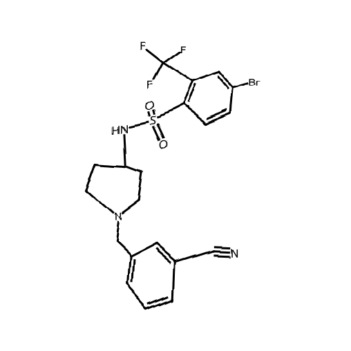 N#Cc1cccc(CN2CCC(NS(=O)(=O)c3ccc(Br)cc3C(F)(F)F)CC2)c1